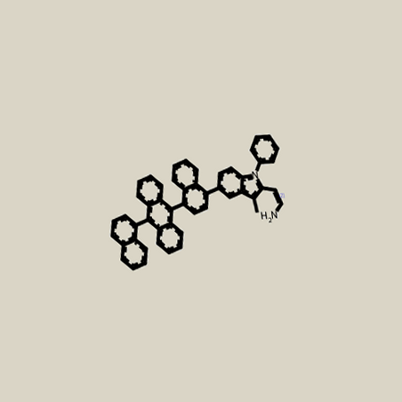 Cc1c(/C=C\N)n(-c2ccccc2)c2ccc(-c3ccc(-c4c5ccccc5c(-c5cccc6ccccc56)c5ccccc45)c4ccccc34)cc12